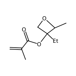 C=C(C)C(=O)OC1(CC)COC1C